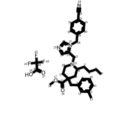 CCCCC1CC(Cc2cccc(C)c2)(C(=O)OC)CCN1Cc1cncn1Cc1ccc(C#N)cc1.O=C(O)C(F)(F)F